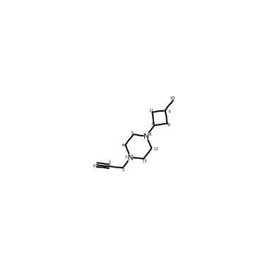 C#CCN1CCN(C2CC(C)C2)CC1